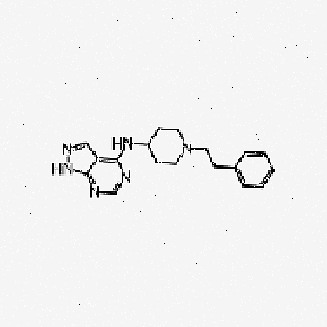 c1ccc(CCN2CCC(Nc3ncnc4[nH]ncc34)CC2)cc1